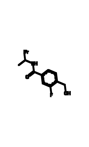 CC(C)C(C)NC(=O)c1ccc(CO)c(F)c1